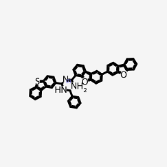 N/C(=N\C(NCc1ccccc1)c1ccc2sc3ccccc3c2c1)c1cccc2c1oc1ccc(-c3ccc4c(c3)oc3ccccc34)cc12